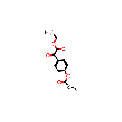 CCOC(=O)C(=O)c1ccc(OC(C)=O)cc1